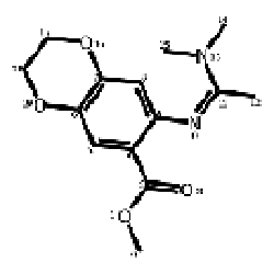 COC(=O)c1cc2c(cc1N=C(C)N(C)C)OCCO2